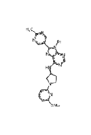 CCn1c(-c2cnc(C)nc2)nc2c(N[C@H]3CCN(c4cccc(OC)n4)C3)ncnc21